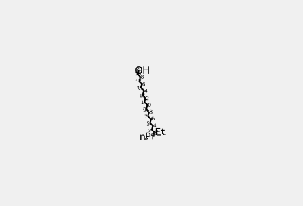 CCCC(CC)CCCCCCCCCCCCCCCCCO